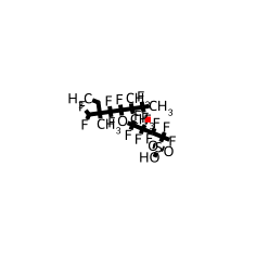 CCC(C)(C(F)F)C(F)(F)C(F)(OC(F)(F)C(F)(F)C(F)(F)C(F)(F)S(=O)(=O)O)C(C)(C)C(C)(F)F